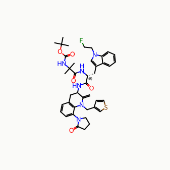 C=C1C(NC(=O)[C@@H](Cc2cn(CCF)c3ccccc23)NC(=O)C(C)(C)NC(=O)OC(C)(C)C)Cc2cccc(N3CCCC3=O)c2N1Cc1ccsc1